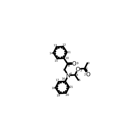 CC(=O)OC(C)N(CC(=O)c1ccccc1)c1ccccc1